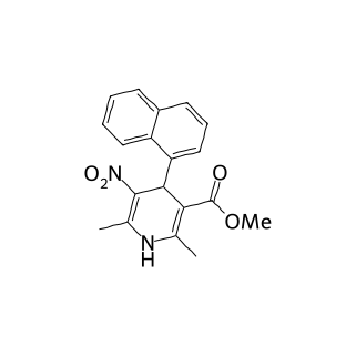 COC(=O)C1=C(C)NC(C)=C([N+](=O)[O-])C1c1cccc2ccccc12